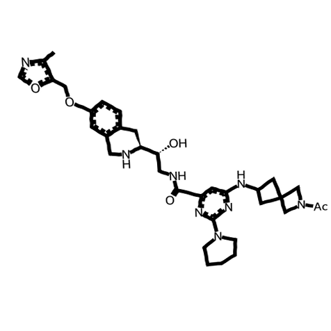 CC(=O)N1CC2(CC(Nc3cc(C(=O)NC[C@@H](O)[C@@H]4Cc5ccc(OCc6ocnc6C)cc5CN4)nc(N4CCCCC4)n3)C2)C1